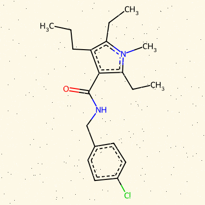 CCCc1c(C(=O)NCc2ccc(Cl)cc2)c(CC)n(C)c1CC